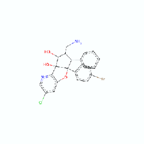 NCC1C(O)C2(O)c3ncc(Cl)cc3OC2(c2ccc(Br)cc2)C1c1ccccc1